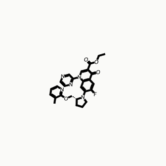 CCOC(=O)c1cn(-c2cnccn2)c2cc(N3CCC[C@@H]3COc3ncccc3C)c(F)cc2c1=O